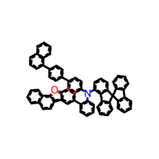 c1ccc(N(c2ccc(-c3ccc(-c4cccc5ccccc45)cc3)cc2)c2cccc3c2-c2ccccc2C32c3ccccc3-c3ccccc32)c(-c2ccc3oc4c5ccccc5ccc4c3c2)c1